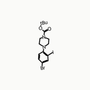 CC(C)(C)OC(=O)N1CCN(c2ccc(Br)cc2I)CC1